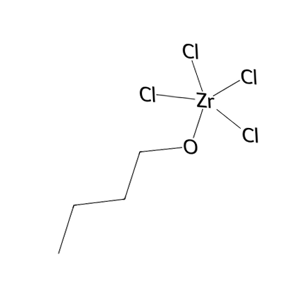 CCCC[O][Zr]([Cl])([Cl])([Cl])[Cl]